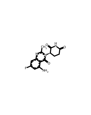 Cc1nc2cc(F)cc(N)c2c(=O)n1[C@@H]1CCC(=O)NC1=O